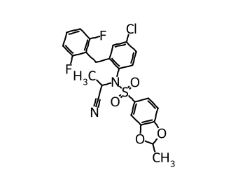 CC1Oc2ccc(S(=O)(=O)N(c3ccc(Cl)cc3Cc3c(F)cccc3F)C(C)C#N)cc2O1